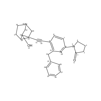 O=C1CCCN1c1ccc(C#CC2(O)CN3CCC2CC3)c(Cc2ccccc2)n1